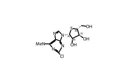 CNc1nc(Cl)nc2c1ncn2[C@@H]1S[C@H](CO)[C@@H](O)[C@H]1O